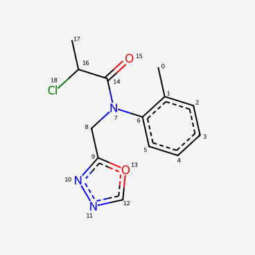 Cc1ccccc1N(Cc1nnco1)C(=O)C(C)Cl